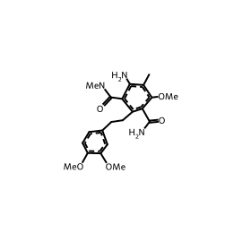 CNC(=O)c1c(N)c(C)c(OC)c(C(N)=O)c1CCc1ccc(OC)c(OC)c1